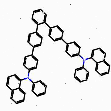 c1ccc(N(c2ccc(-c3ccc(-c4ccccc4-c4ccc(-c5ccc(N(c6ccccc6)c6cccc7ccccc67)cc5)cc4)cc3)cc2)c2cccc3ccccc23)cc1